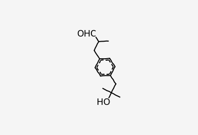 CC(C=O)Cc1ccc(CC(C)(C)O)cc1